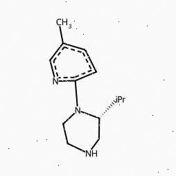 Cc1ccc(N2CCNC[C@H]2C(C)C)nc1